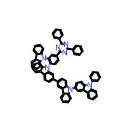 c1ccc(-c2nc(-c3ccccc3)nc(-c3ccc(-n4c5ccccc5c5ccc(-c6ccc7c(c6)c6ccccc6n7-c6ccc7c(c6)c6ccccc6n7-c6ccccc6)cc54)c(-n4c5ccccc5c5ccccc54)c3)n2)cc1